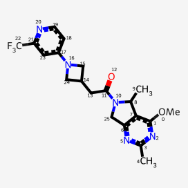 COc1nc(C)nc2c1C(C)N(C(=O)CC1CN(c3ccnc(C(F)(F)F)c3)C1)C2